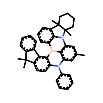 Cc1cc2c3c(c1)N1c4c(cccc4C4(C)CCCCC14C)B3c1c(ccc3c1-c1ccccc1C3(C)C)N2c1ccccc1